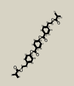 C=C(C)C(=O)OCCc1ccc(OC(=O)c2ccc(OC(=O)c3ccc(CCOC(=O)C(=C)C)cc3)cc2)cc1